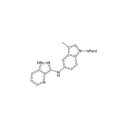 CCCCCn1cc(C)c2cc(Nc3n[nH]c4cccnc34)ccc21